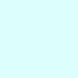 [Hg].[I].[I].[I].[I].[Rb]